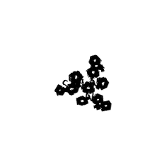 CC1(C)c2ccccc2-c2ccc(N(c3ccccc3)c3cc(N(c4ccc5c(c4)C(C)(C)c4ccccc4-5)C4(C)C=CC=CC4)cc(-n4c5ccccc5c5c6sc7ccccc7c6ccc54)c3)cc21